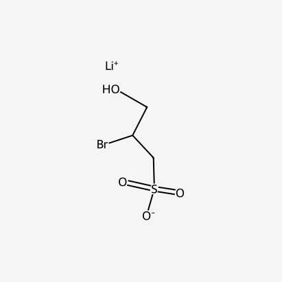 O=S(=O)([O-])CC(Br)CO.[Li+]